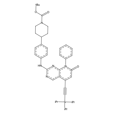 CC(C)[Si](C#Cc1cc(=O)n(-c2ccccc2)c2nc(Nc3ccc(C4CCN(C(=O)OC(C)(C)C)CC4)cc3)ncc12)(C(C)C)C(C)C